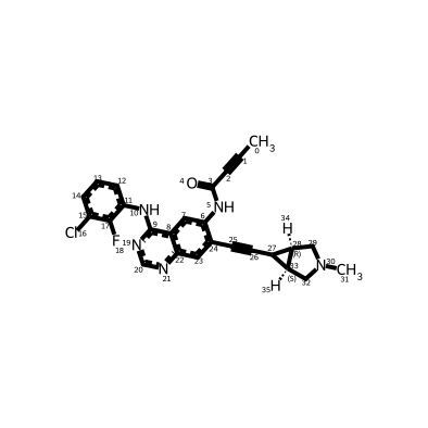 CC#CC(=O)Nc1cc2c(Nc3cccc(Cl)c3F)ncnc2cc1C#CC1[C@H]2CN(C)C[C@@H]12